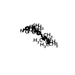 C[C@@H]1CN(C(=O)OC(C)(C)C)C[C@H](C)N1CCc1ccc(C(=O)N[C@H]2C(C)(C)[C@H](Oc3ccc(C#N)c(Cl)c3)C2(C)C)cc1